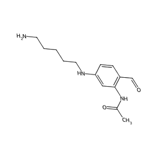 CC(=O)Nc1cc(NCCCCCN)ccc1C=O